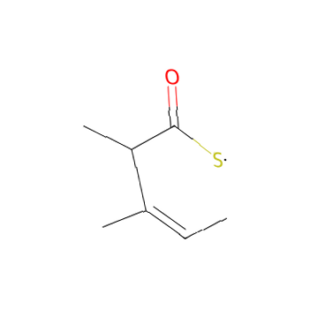 CC=C(C)C(C)C(=O)[S]